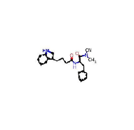 CN(C#N)C(=O)C(Cc1ccccc1)NC(=O)CCCc1c[nH]c2ccccc12